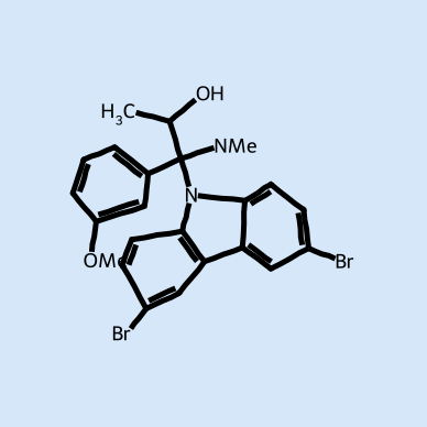 CNC(c1cccc(OC)c1)(C(C)O)n1c2ccc(Br)cc2c2cc(Br)ccc21